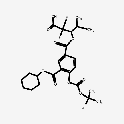 CC(C)C(OC(=O)c1ccc(OC(=O)OC(C)(C)C)c(C(=O)OC2CCCCC2)c1)C(F)(F)C(=O)O